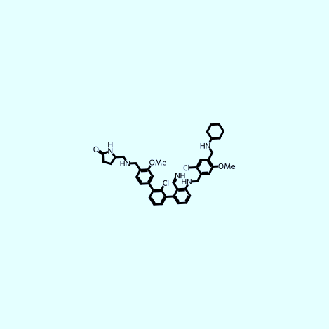 COc1cc(-c2cccc(-c3cccc(NCc4cc(OC)c(CNC5CCCCC5)cc4Cl)c3C=N)c2Cl)ccc1CNCC1CCC(=O)N1